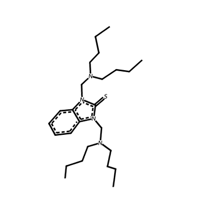 CCCCN(CCCC)Cn1c(=S)n(CN(CCCC)CCCC)c2ccccc21